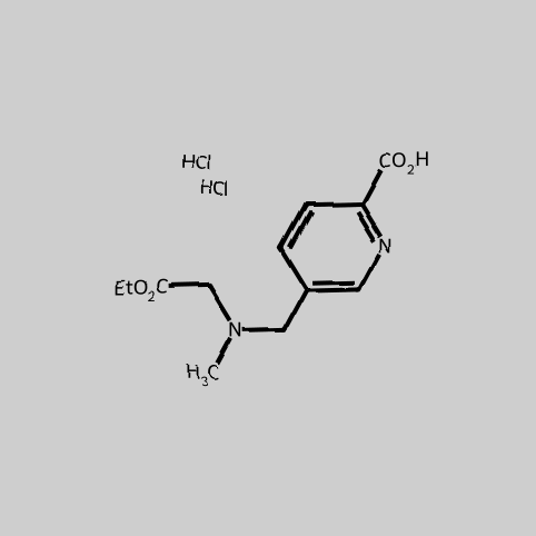 CCOC(=O)CN(C)Cc1ccc(C(=O)O)nc1.Cl.Cl